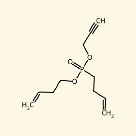 C#CCOP(=O)(CCC=C)OCCC=C